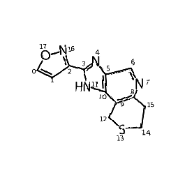 c1cc(-c2nc3cnc4c(c3[nH]2)CSCC4)no1